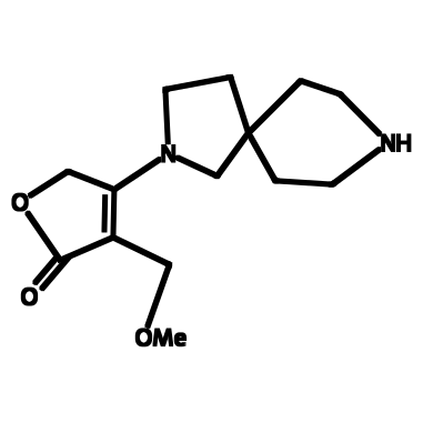 COCC1=C(N2CCC3(CCNCC3)C2)COC1=O